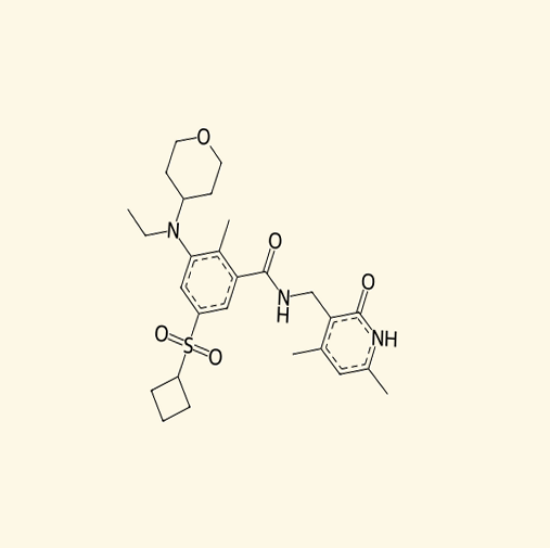 CCN(c1cc(S(=O)(=O)C2CCC2)cc(C(=O)NCc2c(C)cc(C)[nH]c2=O)c1C)C1CCOCC1